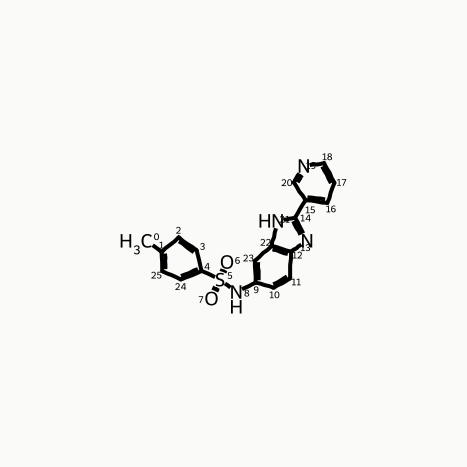 Cc1ccc(S(=O)(=O)Nc2ccc3nc(-c4cccnc4)[nH]c3c2)cc1